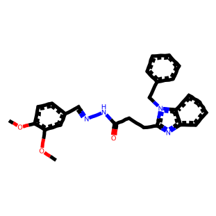 COc1ccc(C=NNC(=O)CCc2nc3ccccc3n2Cc2ccccc2)cc1OC